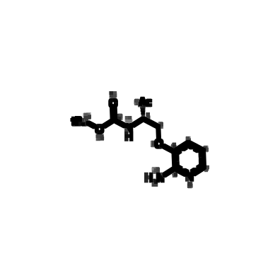 CC(=O)[C@H](COc1cccnc1N)NC(=O)OC(C)(C)C